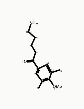 COc1c(C)cc(C(=O)CCCCC=O)cc1C